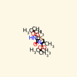 CC1=C(C(=O)OC(C)(C)C)N2C(=O)[C@@H](NC(=O)OC(C)(C)C)[C@@H]2SC1